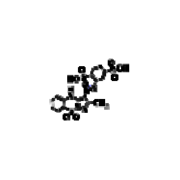 Cc1nn2c(c1/N=N/c1cc(S(=O)(=O)O)ccc1S(=O)(=O)O)Nc1ccccc1S2(=O)=O